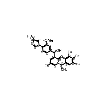 COc1cc(C(O)c2cc(Cl)cn([C@@H](C)c3cc(F)c(F)c(F)c3)c2=O)ccc1-n1cnc(C)c1